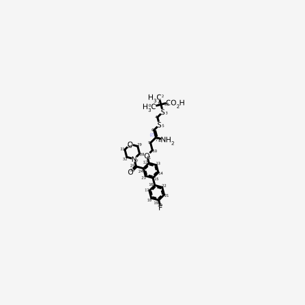 CC(C)(SCS/C=C(\N)CCOc1ccc(-c2ccc(F)cc2)cc1C(=O)N1CCOCC1)C(=O)O